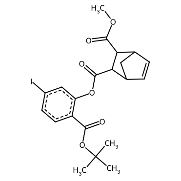 COC(=O)C1C2C=CC(C2)C1C(=O)Oc1cc(I)ccc1C(=O)OC(C)(C)C